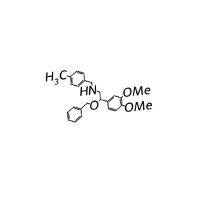 COc1ccc(C(CNCc2ccc(C)cc2)OCc2ccccc2)cc1OC